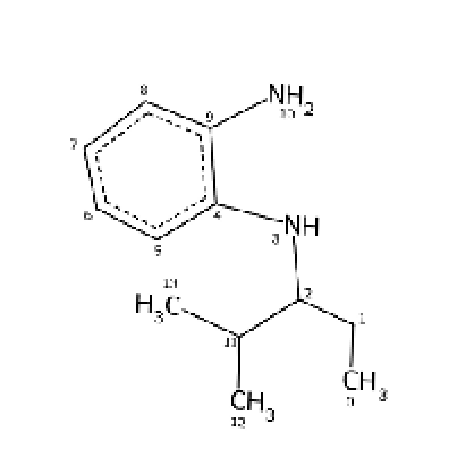 CCC(Nc1ccccc1N)C(C)C